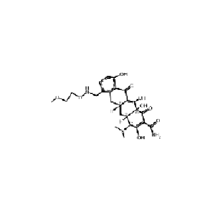 COCCONCc1ccc(O)c2c1C[C@H]1C[C@H]3[C@H](N(C)C)C(O)=C(C(N)=O)C(=O)[C@@]3(O)C(O)=C1C2=O